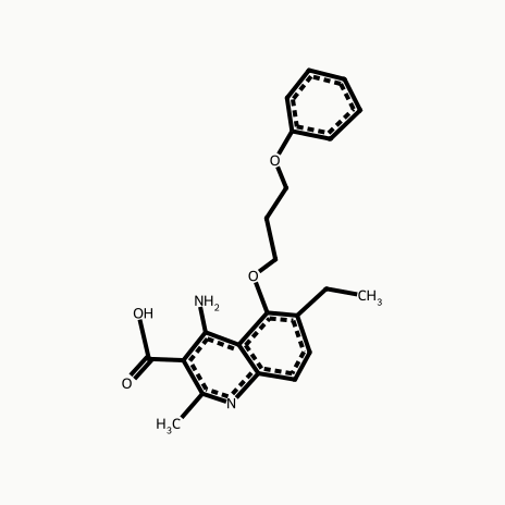 CCc1ccc2nc(C)c(C(=O)O)c(N)c2c1OCCCOc1ccccc1